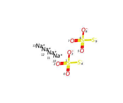 O=S(=O)([O-])[S-].O=S(=O)([O-])[S-].[Na+].[Na+].[Na+].[Na+]